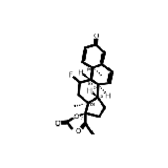 CC(=O)O[C@]1(C(C)=O)CC[C@H]2[C@@H]3C=CC4=CC(=O)C=C[C@]4(C)[C@H]3C(F)C[C@@]21C